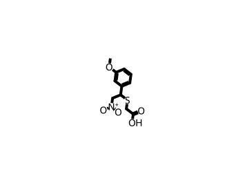 COc1cccc(C(C[N+](=O)[O-])SCC(=O)O)c1